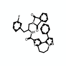 O=C(NC(Cc1cccc(F)c1)CN1C(=O)c2ccccc2C1=O)c1cc2c(s1)CCCn1ncc(-c3ccccc3)c1-2